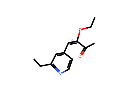 CCO/C(=C/c1ccnc(CC)c1)C(C)=O